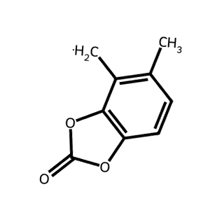 [CH2]c1c(C)ccc2oc(=O)oc12